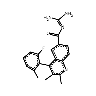 Cc1cccc(F)c1-c1c(C)c(C)nc2ccc(C(=O)N=C(N)N)cc12